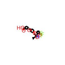 O=C(O)[C@H]1CCC[C@@H](OCC23CCC(OCc4c(-c5ccccc5OC(F)(F)F)noc4C4CC4)(CC2)CC3)C1